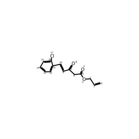 C=CCOC(=O)CC(=O)C=Cc1ccccc1Cl